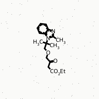 CCOC(=O)CC(=O)COCC(C)(C)n1c(C)nc2ccccc21